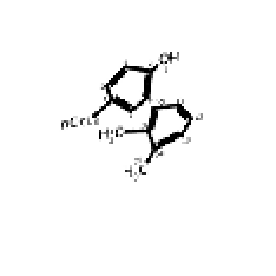 CCCCCCCCc1ccc(O)cc1.Cc1ccccc1C